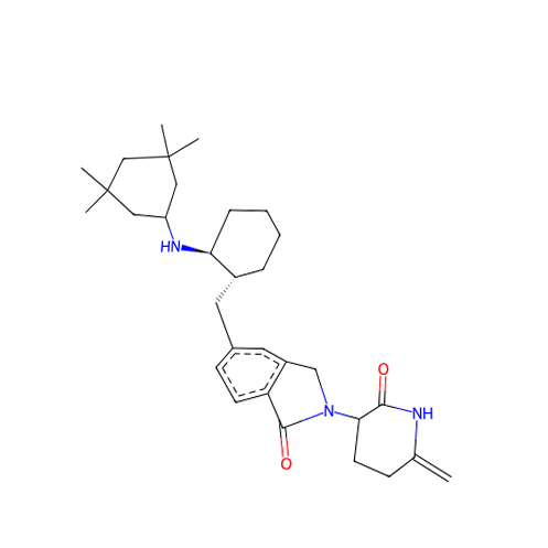 C=C1CCC(N2Cc3cc(C[C@H]4CCCC[C@@H]4NC4CC(C)(C)CC(C)(C)C4)ccc3C2=O)C(=O)N1